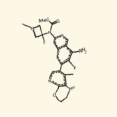 COC(=O)N(c1cc2cc(-c3cnc4c(c3C)NCCO4)c(F)c(N)c2cn1)C1(F)CN(C)C1